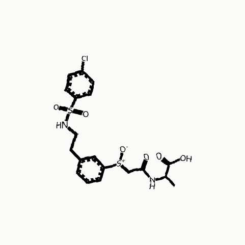 CC(NC(=O)C[S+]([O-])c1cccc(CCNS(=O)(=O)c2ccc(Cl)cc2)c1)C(=O)O